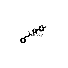 O=C(CCc1ccccc1)Nc1csc(-c2ccc(Cl)nc2)c1C(=O)O